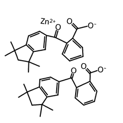 CC1(C)CC(C)(C)c2cc(C(=O)c3ccccc3C(=O)[O-])ccc21.CC1(C)CC(C)(C)c2cc(C(=O)c3ccccc3C(=O)[O-])ccc21.[Zn+2]